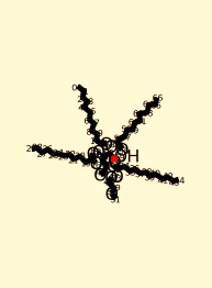 CCCCCCCCCCCC(=O)O[C@H]([C@H](OC(=O)CCCCCCCCCCC)[C@H](OC(=O)CCCCCCCCCCC)C(=O)OCCOC)[C@@H](OC(=O)CCCCCCCCCCC)C(=O)O